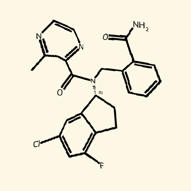 Cc1nccnc1C(=O)N(Cc1ccccc1C(N)=O)[C@@H]1CCc2c(F)cc(Cl)cc21